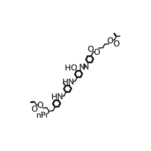 C=CC(=O)OCCC(CCC)Cc1ccc(NCc2ccc(NCc3ccc(/N=N/c4ccc(C(=O)OCCCCOC(=O)C(=C)C)cc4)c(O)c3)c(C)c2)cc1